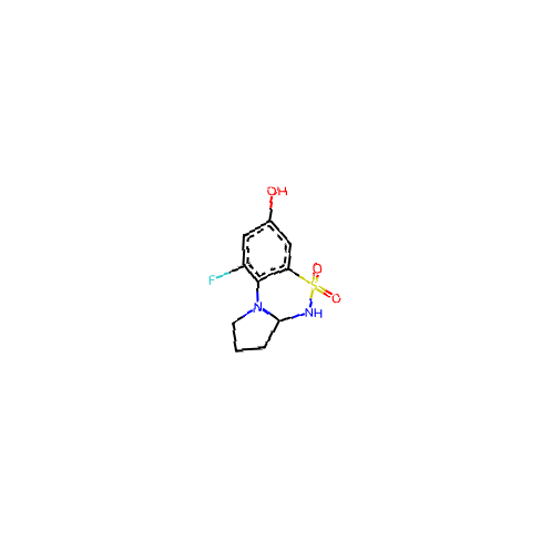 O=S1(=O)NC2CCCN2c2c(F)cc(O)cc21